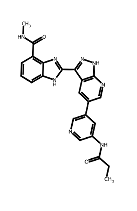 CCC(=O)Nc1cncc(-c2cnc3[nH]nc(-c4nc5c(C(=O)NC)cccc5[nH]4)c3c2)c1